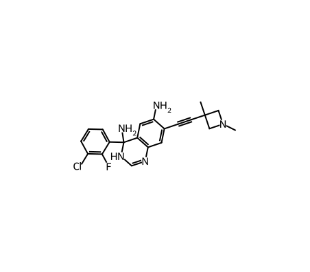 CN1CC(C)(C#Cc2cc3c(cc2N)C(N)(c2cccc(Cl)c2F)NC=N3)C1